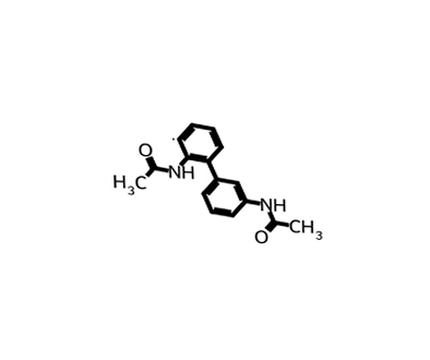 CC(=O)Nc1cccc(-c2ccc[c]c2NC(C)=O)c1